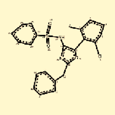 Cc1cccc(Cl)c1-c1oc(Cc2ccccc2)nc1NS(=O)(=O)c1ccccc1